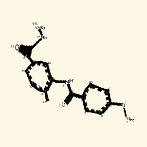 CCCCCCCCCCOc1ccc(C(=O)Nc2cc(C(=O)NCCCC)ccc2C)cc1